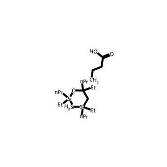 CCCC(=O)O.CCCC1(CC)C[Si](CC)(CCC)[SiH2][Si](CC)(CCC)O1